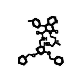 Cc1ccc(-c2c(C(=O)NCc3cc(OCc4ccccc4)cc(OCc4ccccc4)c3)n(CC[C@@H](C)CO)c(=O)c3ncccc23)cc1